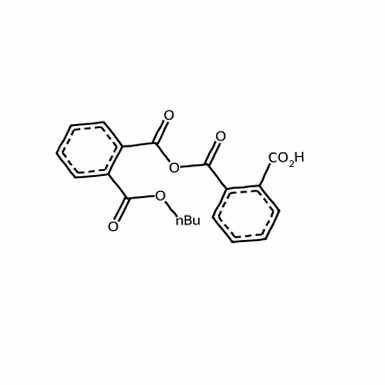 CCCCOC(=O)c1ccccc1C(=O)OC(=O)c1ccccc1C(=O)O